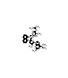 CC(C)OC(=O)[C@@H](C)N[P@](=O)(COc1cccc2ccccc12)OC[C@]1(F)C[C@H](C)[C@H](n2cnc3c(N(C)C)nc(N)nc32)O1